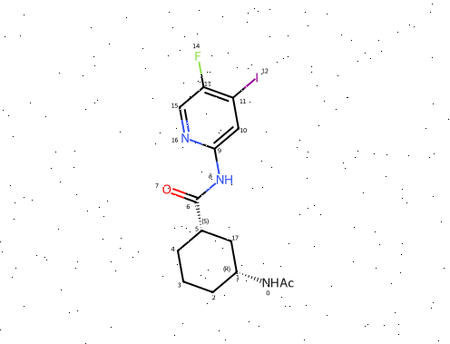 CC(=O)N[C@@H]1CCC[C@H](C(=O)Nc2cc(I)c(F)cn2)C1